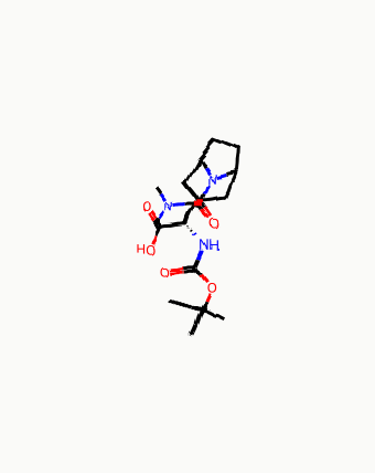 CN(C)C(=O)N1C2CCC1CC([C@H](NC(=O)OC(C)(C)C)C(=O)O)C2